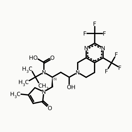 CC1=CC(=O)N(C[C@H](CC(O)N2CCc3c(nc(C(F)(F)F)nc3C(F)(F)F)C2)N(C(=O)O)C(C)(C)C)C1